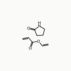 C=COC(=O)C=C.O=C1CCCN1